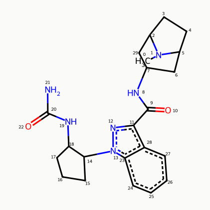 CN1C2CCC1CC(NC(=O)c1nn(C3CCCC3NC(N)=O)c3ccccc13)C2